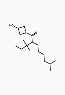 CSC(C)(C)C(CCCCC(C)C)C(=O)N1CC(O)C1